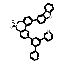 O=S1(=O)Cc2ccc(-c3cc(-c4cccnc4)cc(-c4cccnc4)c3)cc2-c2cc(-c3ccc4oc5ccccc5c4c3)ccc2C1